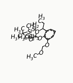 CCC(O[SiH2][Si](C)(C)C(C)(C)C)c1cccc(OCOC)c1OCOC